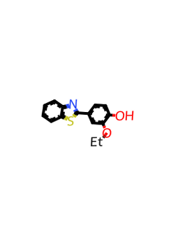 CCOc1cc(-c2nc3ccccc3s2)ccc1O